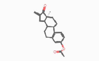 C=C1CC2C3CCc4cc(OC(C)=O)ccc4C3CC[C@]2(C)C1=O